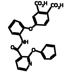 O=C(O)c1ccc(Oc2ccccc2NC(=O)c2cccnc2Oc2ccccc2)cc1C(=O)O